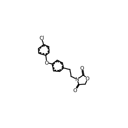 O=C1COC(=O)N1CCc1ccc(Oc2ccc(Cl)cc2)cc1